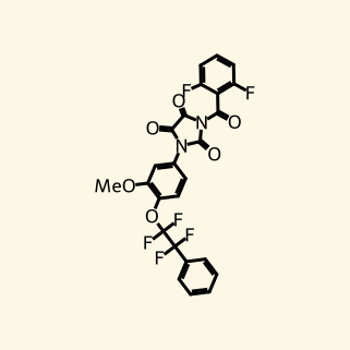 COc1cc(N2C(=O)C(=O)N(C(=O)c3c(F)cccc3F)C2=O)ccc1OC(F)(F)C(F)(F)c1ccccc1